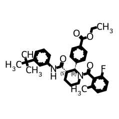 CCOC(=O)c1ccc([C@H]2[C@@H](C(=O)Nc3cccc(C(C)(C)C)c3)CCCN2C(=O)c2c(C)cccc2F)cc1